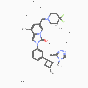 C[C@@H]1CN(Cc2cc(C(F)(F)F)c3cn(-c4cccc([C@]5(Cc6nncn6C)C[C@H](C#N)C5)c4)c(=O)n3c2)CCC1(F)F